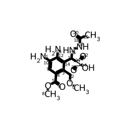 COCc1c(C(=O)OC)cc(N)c(N)c1C(NNC(C)=O)S(=O)(=O)O